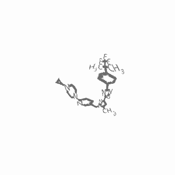 Cc1cc(-c2nc(-c3ccc(C(C)(C)C(F)(F)F)cc3)no2)nn1Cc1ccc(N2CCN(C3CC3)CC2)nc1